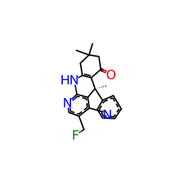 CC1(C)CC(=O)C2=C(C1)Nc1ncc(CF)c(C#N)c1[C@]2(C)c1ccccc1